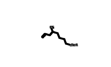 [CH2]CCCCCCCCC(C#N)CC=C